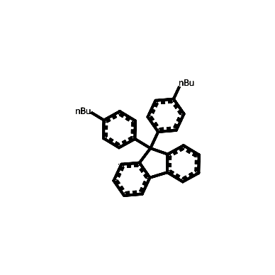 CCCCc1ccc(C2(c3ccc(CCCC)cc3)c3[c]cccc3-c3ccccc32)cc1